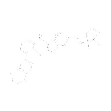 CC(CO)(N=Cc1cnc2c(Nc3cccc(-c4ccc5c(c4)OCCO5)c3Cl)nsc2n1)C(=O)O